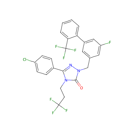 O=c1n(Cc2cc(F)cc(-c3ccccc3C(F)(F)F)c2)nc(-c2ccc(Cl)cc2)n1CCC(F)(F)F